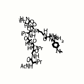 CC(=O)NC(C(=O)NCC(=O)N[C@@H](CC(C)C)C(=O)NC(C)(C)C(=O)NC(C(=O)N[C@@H](CCCCNC(=O)/C(N)=N/N(N)c1ccc(N(C)C)cc1)C(=O)N[C@@H](CC(C)C)C(N)=O)C(C)C)C(C)C